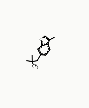 Cc1coc2cc(CC(C)(C)C(F)(F)F)ccc12